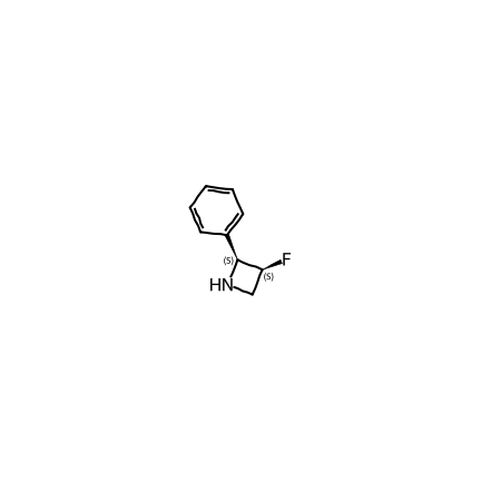 F[C@H]1CN[C@H]1c1ccccc1